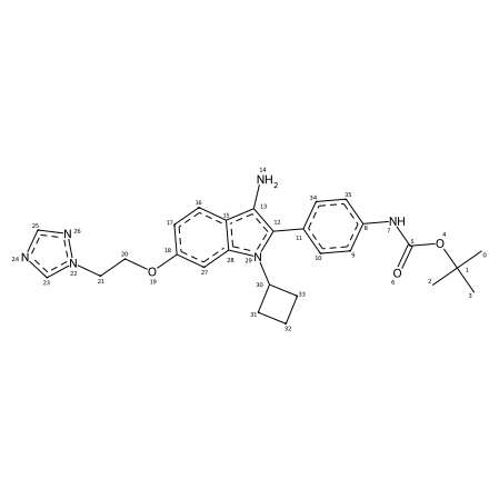 CC(C)(C)OC(=O)Nc1ccc(-c2c(N)c3ccc(OCCn4cncn4)cc3n2C2CCC2)cc1